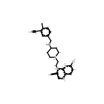 Cc1ccc(CNC2CCN(CCn3c(=S)cnc4ccc(Cl)nc43)CC2)cc1C#N